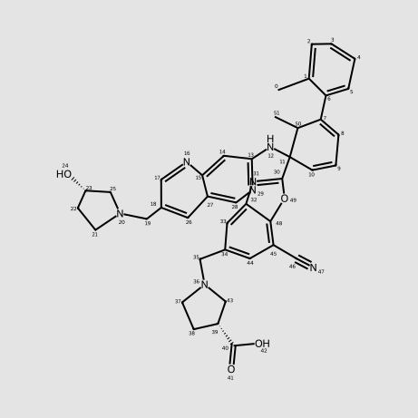 Cc1ccccc1C1=CC=CC(Nc2cc3ncc(CN4CC[C@H](O)C4)cc3cn2)(c2nc3cc(CN4CC[C@@H](C(=O)O)C4)cc(C#N)c3o2)C1C